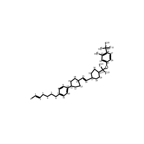 C/C=C/CCCCc1ccc(C2CCC(/C=C/C3CCC(C(F)(F)Oc4ccc(C(F)(F)F)c(F)c4)CC3)CC2)cc1